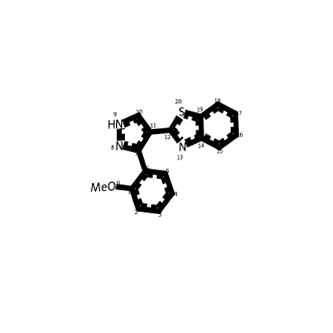 COc1ccccc1-c1n[nH]cc1-c1nc2ccccc2s1